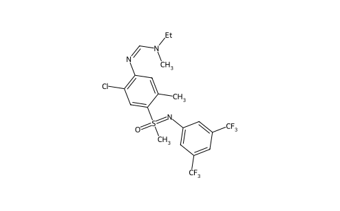 CCN(C)/C=N\c1cc(C)c(S(C)(=O)=Nc2cc(C(F)(F)F)cc(C(F)(F)F)c2)cc1Cl